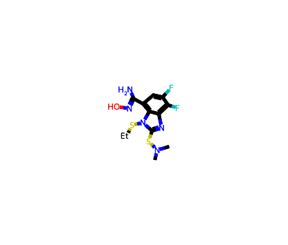 CCSn1c(SN(C)C)nc2c(F)c(F)cc(C(N)=NO)c21